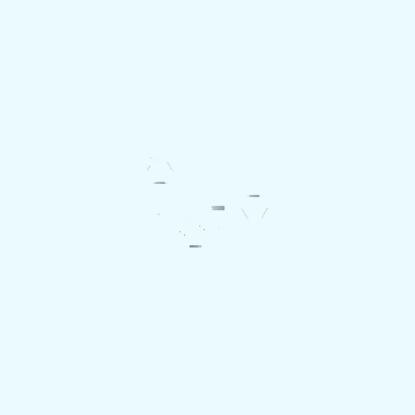 CC(=O)NC(C(=O)O)(C(C#Cc1ccccc1)CCc1ccncc1)N1CCCCC1=O